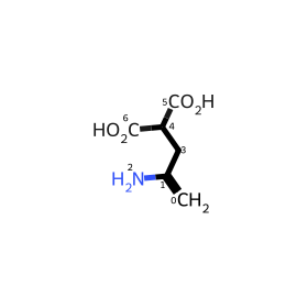 C=C(N)CC(C(=O)O)C(=O)O